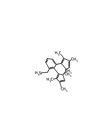 CC1=CC(C)C(c2cccc(C[SiH3])c2C2=C(C)C(C)=CC2C)=C1C